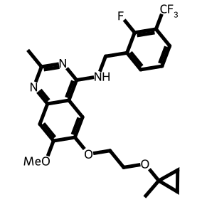 COc1cc2nc(C)nc(NCc3cccc(C(F)(F)F)c3F)c2cc1OCCOC1(C)CC1